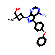 COC1(CO)CC(n2nc(-c3ccc(Oc4ccccc4)cc3)c3c(N)ncnc32)C1